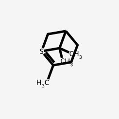 CC1=S2CC(CC1)C2(C)C